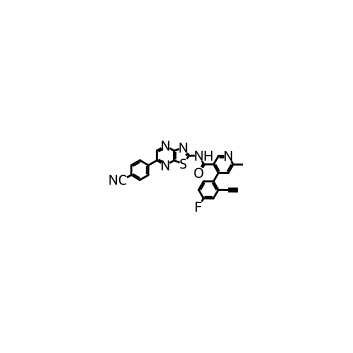 C#Cc1cc(F)ccc1-c1cc(C)ncc1C(=O)Nc1nc2ncc(-c3ccc(C#N)cc3)nc2s1